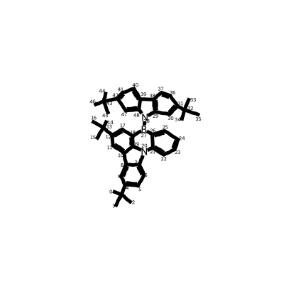 CC(C)(C)c1ccc2c(c1)c1cc(C(C)(C)C)cc3c1n2-c1ccccc1B3n1c2cc(C(C)(C)C)ccc2c2ccc(C(C)(C)C)cc21